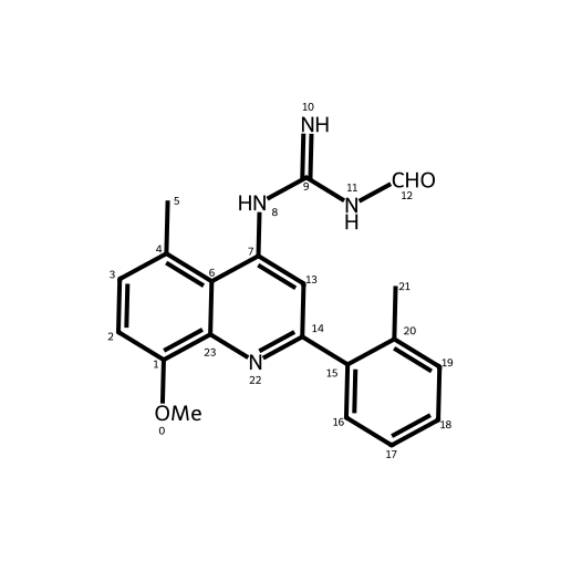 COc1ccc(C)c2c(NC(=N)NC=O)cc(-c3ccccc3C)nc12